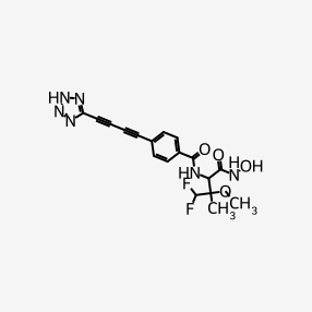 COC(C)(C(F)F)C(NC(=O)c1ccc(C#CC#Cc2nn[nH]n2)cc1)C(=O)NO